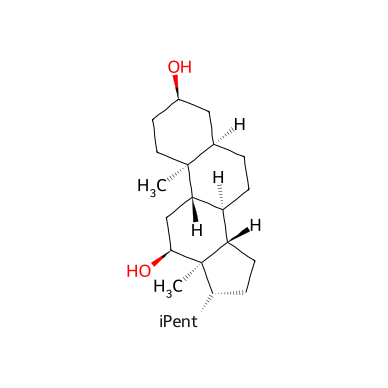 CCC[C@@H](C)[C@H]1CC[C@H]2[C@@H]3CC[C@@H]4C[C@H](O)CC[C@]4(C)[C@H]3C[C@H](O)[C@]12C